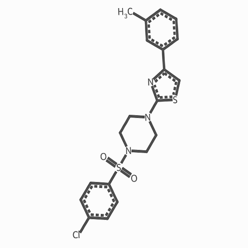 Cc1cccc(-c2csc(N3CCN(S(=O)(=O)c4ccc(Cl)cc4)CC3)n2)c1